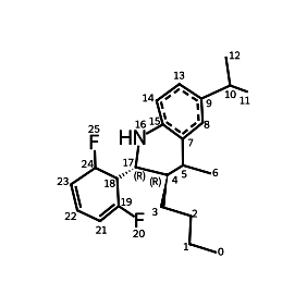 CCCC[C@@H]1C(C)c2cc(C(C)C)ccc2N[C@H]1C1C(F)=CC=CC1F